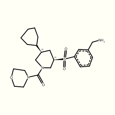 NCc1cccc(S(=O)(=O)[C@@H]2C[C@H](C3CCCCC3)CN(C(=O)N3CCOCC3)C2)c1